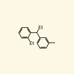 CCc1ccccc1C(CC)c1cccc(C)c1